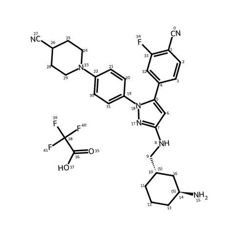 N#Cc1ccc(-c2cc(NC[C@H]3CCC[C@H](N)C3)nn2-c2ccc(N3CCC(C#N)CC3)cc2)cc1F.O=C(O)C(F)(F)F